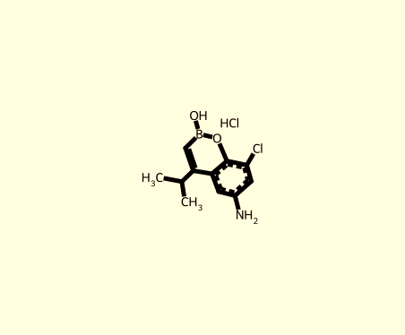 CC(C)C1=CB(O)Oc2c(Cl)cc(N)cc21.Cl